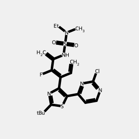 C=C/C(=C(/F)C(=C)NS(=O)(=O)N(C)CC)c1nc(C(C)(C)C)sc1-c1ccnc(Cl)n1